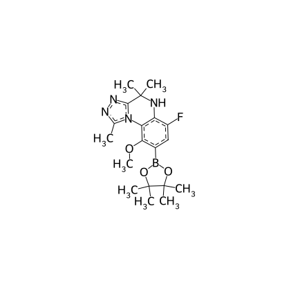 COc1c(B2OC(C)(C)C(C)(C)O2)cc(F)c2c1-n1c(C)nnc1C(C)(C)N2